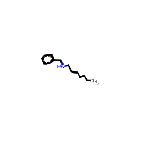 CCCC/C=C/CNCc1ccccc1